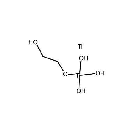 OCC[O][Ti]([OH])([OH])[OH].[Ti]